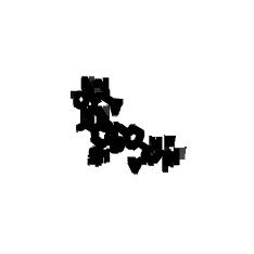 COc1ncnc(C2CC2)c1-c1nc(C)c2c[c]([Sn]([CH3])([CH3])[CH3])c(=O)n(Cc3ccc(-c4nc(C(F)(F)F)cn4C4CC4)cc3)c2n1